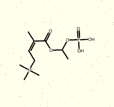 CC(=CC[N+](C)(C)C)C(=O)OC(C)OP(=O)(O)O